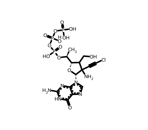 C[C@H](OP(=O)(O)OP(=O)(O)OP(=O)(O)O)[C@H]1O[C@@H](n2cnc3c(=O)[nH]c(N)nc32)C(N)(C#CCl)C1CO